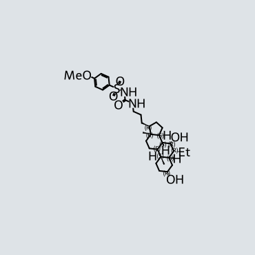 CC[C@H]1[C@@H](O)[C@@H]2[C@H](CC[C@]3(C)[C@@H](CCCNC(=O)NS(=O)(=O)c4ccc(OC)cc4)CC[C@@H]23)[C@@]2(C)CC[C@@H](O)C[C@@H]12